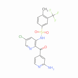 Cc1ccc(S(=O)(=O)Nc2cc(Cl)cnc2C(=O)c2ccnc(N)c2)cc1C(F)(F)F